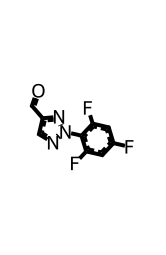 O=Cc1cnn(-c2c(F)cc(F)cc2F)n1